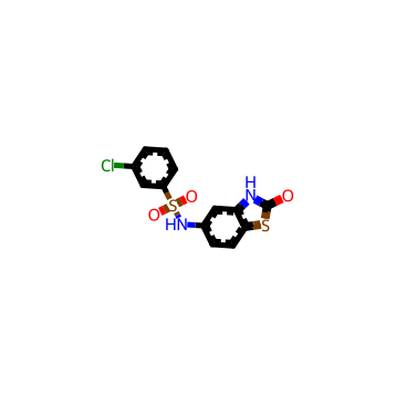 O=c1[nH]c2cc(NS(=O)(=O)c3cccc(Cl)c3)ccc2s1